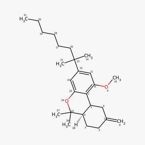 C=C1CC[C@@H]2C(C1)c1c(OC)cc(C(C)(C)CCCCCC)cc1OC2(C)C